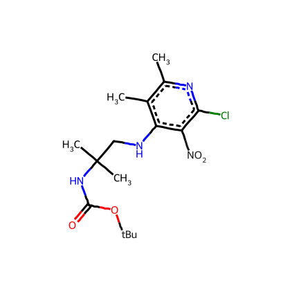 Cc1nc(Cl)c([N+](=O)[O-])c(NCC(C)(C)NC(=O)OC(C)(C)C)c1C